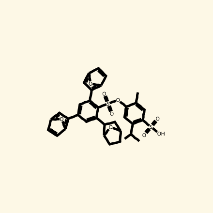 Cc1cc(S(=O)(=O)O)c(C(C)C)cc1OS(=O)(=O)c1c(-c2cc3ccc2o3)cc(-c2cc3ccc2o3)cc1C1CC2CCC1O2